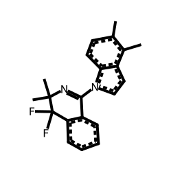 Cc1ccc2c(ccn2C2=NC(C)(C)C(F)(F)c3ccccc32)c1C